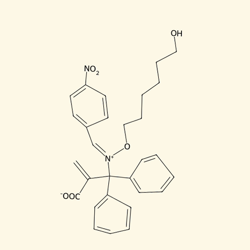 C=C(C(=O)[O-])C(c1ccccc1)(c1ccccc1)[N+](=Cc1ccc([N+](=O)[O-])cc1)OCCCCCCO